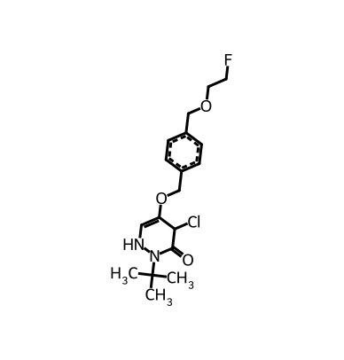 CC(C)(C)N1NC=C(OCc2ccc(COCCF)cc2)C(Cl)C1=O